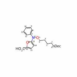 CCCCCCCCCCCCCCON(c1ccccc1)c1ccc(C(=O)O)o1